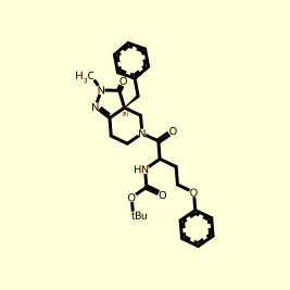 CN1N=C2CCN(C(=O)C(CCOc3ccccc3)NC(=O)OC(C)(C)C)C[C@@]2(Cc2ccccc2)C1=O